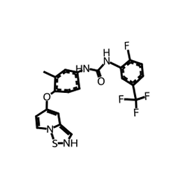 Cc1cc(NC(=O)Nc2cc(C(F)(F)F)ccc2F)ccc1OC1=CC2=CNSN2C=C1